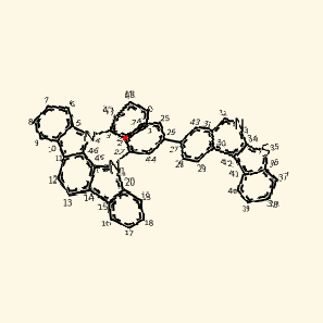 c1ccc(-n2c3ccccc3c3ccc4c5ccccc5n(-c5cccc(-c6ccc7c(cnc8sc9ccccc9c87)c6)c5)c4c32)cc1